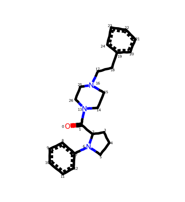 O=C(C1CCCN1c1ccccc1)N1CCN(CCc2ccccc2)CC1